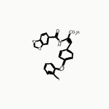 O=C(O)/C(=C/c1ccc(Oc2ccccc2I)cc1)NC(=O)c1ccc2c(c1)OCO2